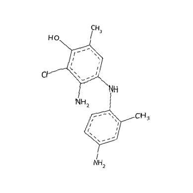 Cc1cc(N)ccc1Nc1cc(C)c(O)c(Cl)c1N